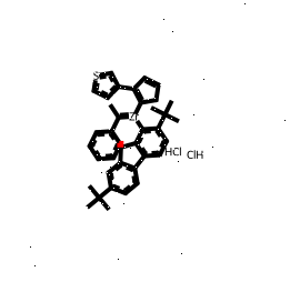 C/[C](c1ccccc1)=[Zr](\[C]1=C(c2ccsc2)C=CC1)[c]1c(C(C)(C)C)ccc2c1Cc1cc(C(C)(C)C)ccc1-2.Cl.Cl